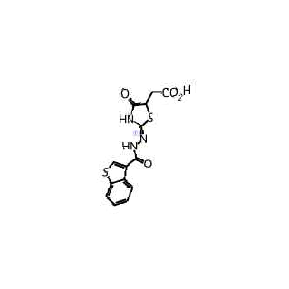 O=C(O)CC1S/C(=N/NC(=O)c2csc3ccccc23)NC1=O